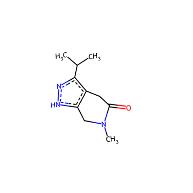 CC(C)c1n[nH]c2c1CC(=O)N(C)C2